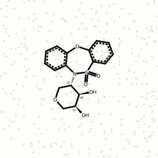 O=S1(=O)c2ccccc2Oc2ccccc2N1[C@H]1COC[C@H](O)[C@@H]1O